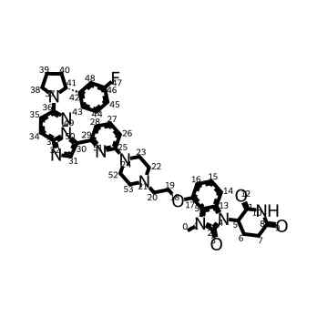 Cn1c(=O)n(C2CCC(=O)NC2=O)c2cccc(OCCN3CCN(c4cccc(-c5cnc6ccc(N7CCC[C@@H]7c7cccc(F)c7)nn56)n4)CC3)c21